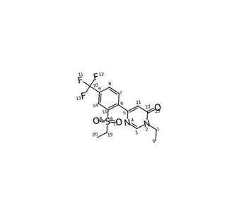 CCn1cnc(-c2ccc(C(F)(F)F)cc2S(=O)(=O)CC)cc1=O